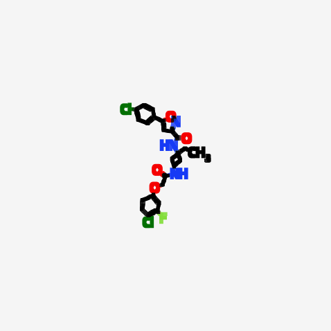 CCC1(NC(=O)c2cc(-c3ccc(Cl)cc3)on2)CC(NC(=O)COc2ccc(Cl)c(F)c2)C1